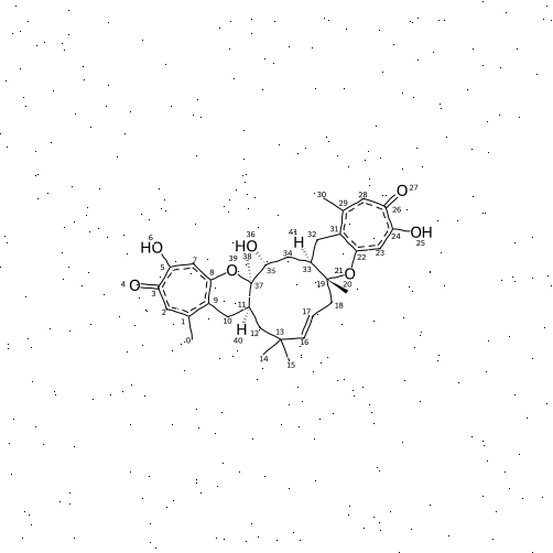 Cc1cc(=O)c(O)cc2c1C[C@@H]1CC(C)(C)/C=C/C[C@@]3(C)Oc4cc(O)c(=O)cc(C)c4C[C@@H]3C[C@@H](O)[C@]1(C)O2